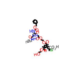 CCCCNC(=O)CC[C@H](NC(=O)OCc1ccccc1)C(=O)NCC(=O)OCCOC(=O)C(C)(CC(C)(C)C(=O)OCCO)C(C)(C)CC(C)(Br)C(=O)O